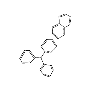 c1ccc(C(c2ccccc2)c2ccccc2)cc1.c1ccc2ccccc2c1